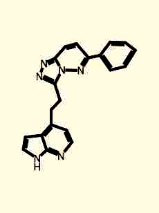 c1ccc(-c2ccc3nnc(CCc4ccnc5[nH]ccc45)n3n2)cc1